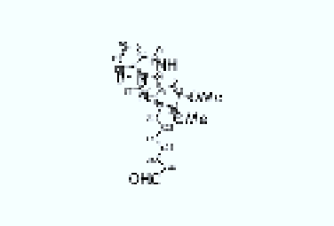 COc1cc2c(N[C@H](C)c3cccc(Br)c3)nc(C)nc2c(CCCCCCC=O)c1OC